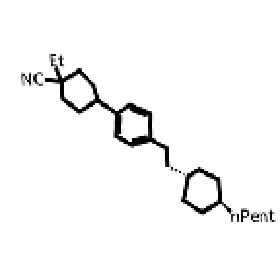 CCCCC[C@H]1CC[C@H](CCc2ccc(C3CCC(C#N)(CC)CC3)cc2)CC1